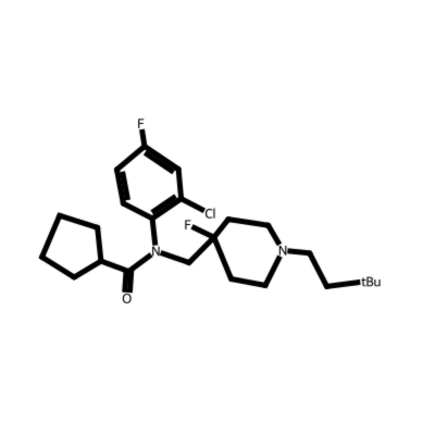 CC(C)(C)CCN1CCC(F)(CN(C(=O)C2CCCC2)c2ccc(F)cc2Cl)CC1